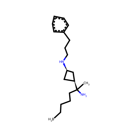 BCCCCC(C)(N)[C@H]1C[C@@H](NCCCc2ccccc2)C1